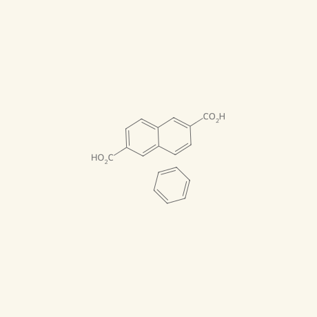 O=C(O)c1ccc2cc(C(=O)O)ccc2c1.c1ccccc1